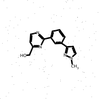 Cn1ccc(-c2cccc(-c3nccc(CO)n3)c2)n1